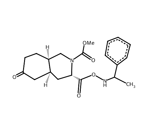 COC(=O)N1C[C@@H]2CCC(=O)C[C@@H]2C[C@H]1C(=O)ONC(C)c1ccccc1